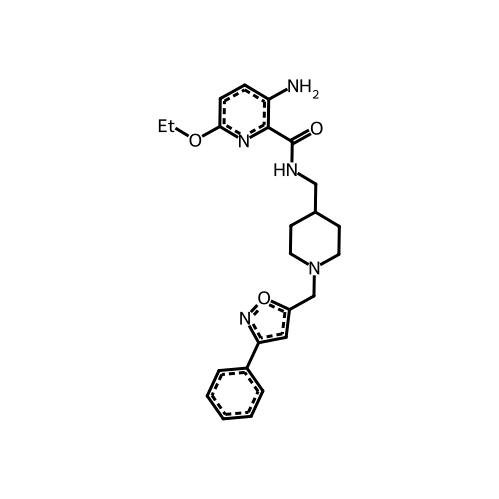 CCOc1ccc(N)c(C(=O)NCC2CCN(Cc3cc(-c4ccccc4)no3)CC2)n1